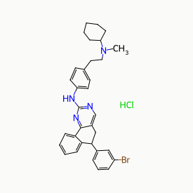 CN(CCc1ccc(Nc2ncc3c(n2)-c2ccccc2C(c2cccc(Br)c2)C3)cc1)C1CCCCC1.Cl